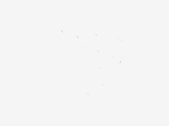 C[C@@H](NC(=O)c1ncc2c(n1)N(C(=O)Nc1cc(OC[C@@H]3COC(C)(C)O3)ncn1)[C@H]1CCCN2C1)C(F)(F)F